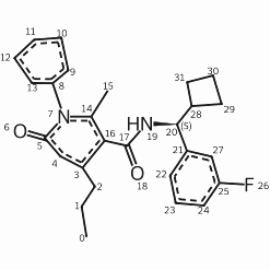 CCCc1cc(=O)n(-c2ccccc2)c(C)c1C(=O)N[C@H](c1cccc(F)c1)C1CCC1